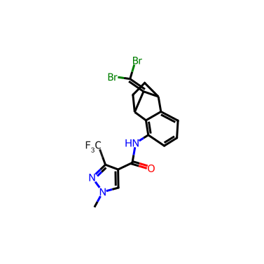 Cn1cc(C(=O)Nc2cccc3c2C2CCC3C2=C(Br)Br)c(C(F)(F)F)n1